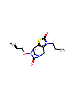 C=CCON1C(=O)N2Cc3c(sc(=O)n3CCC)C1C2